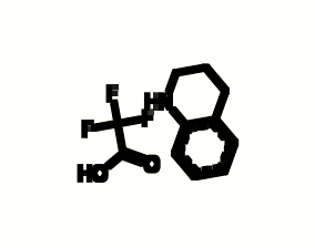 O=C(O)C(F)(F)F.c1ccc2c(c1)CCCN2